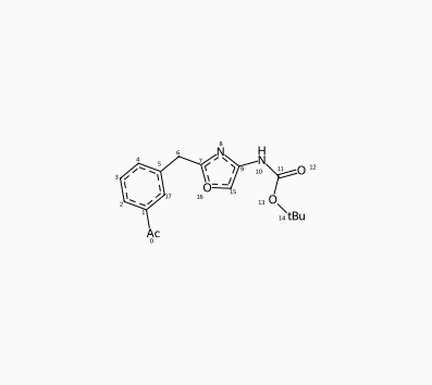 CC(=O)c1cccc(Cc2nc(NC(=O)OC(C)(C)C)co2)c1